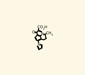 CC1CCc2c(-n3cccc3)ccc3c(=O)c(C(=O)O)cn1c23